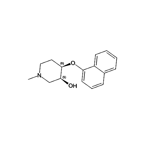 CN1CC[C@@H](Oc2cccc3ccccc23)[C@@H](O)C1